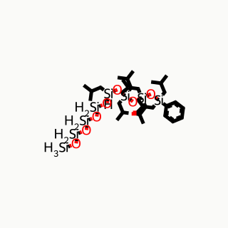 CC(C)C[SiH](O[SiH2]O[SiH2]O[SiH2]O[SiH3])O[Si](CC(C)C)(CC(C)C)O[Si](CC(C)C)(CC(C)C)O[Si](CC(C)C)(CC(C)C)c1ccccc1